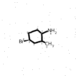 CC1C[C@@H](Br)CCC1N